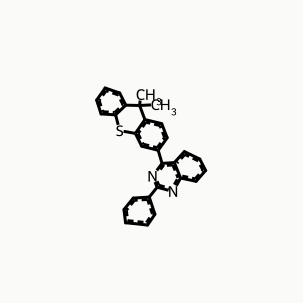 CC1(C)c2ccccc2Sc2cc(-c3nc(-c4ccccc4)nc4ccccc34)ccc21